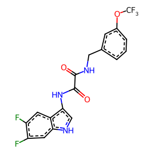 O=C(NCc1cccc(OC(F)(F)F)c1)C(=O)Nc1c[nH]c2cc(F)c(F)cc12